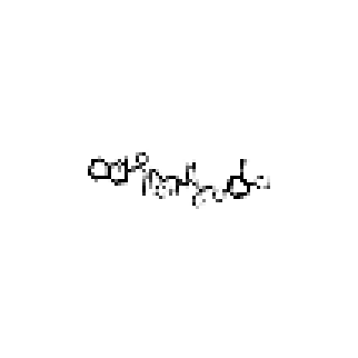 O=C(COc1ccc(Cl)c(F)c1)NCC[C@H](O)CNC(=O)c1ccc2c(n1)CCCC2